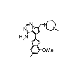 COc1cc(C)cc2cc(-c3cc(CN4CCCN(C)CC4)n4ncnc(N)c34)sc12